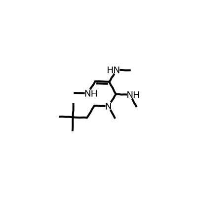 CN/C=C(/NC)C(NC)N(C)CCC(C)(C)C